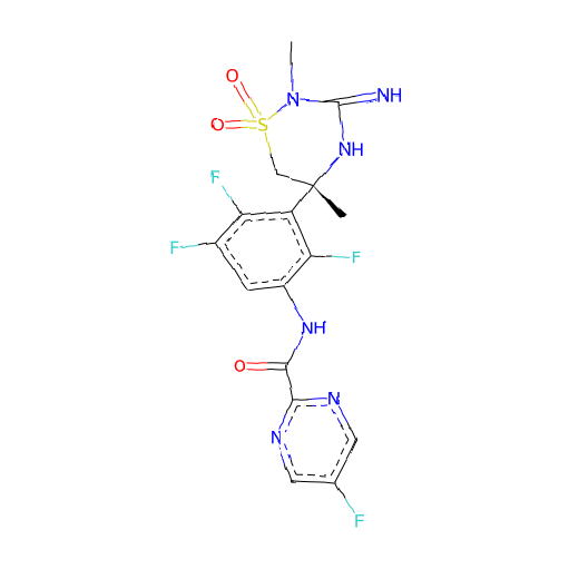 CN1C(=N)N[C@](C)(c2c(F)c(F)cc(NC(=O)c3ncc(F)cn3)c2F)CS1(=O)=O